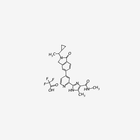 CNC(=O)c1nc(-c2cc(-c3ccc4c(c3)CN(C(C)C3CC3)C4=O)ccn2)[nH]c1C.O=C(O)C(F)(F)F